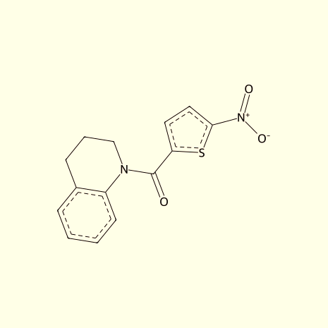 O=C(c1ccc([N+](=O)[O-])s1)N1CCCc2ccccc21